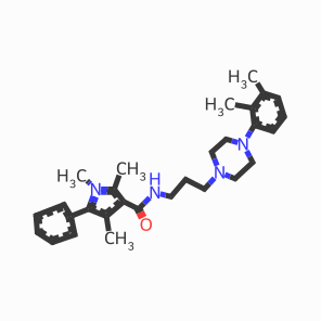 Cc1cccc(N2CCN(CCCNC(=O)c3c(C)c(-c4ccccc4)n(C)c3C)CC2)c1C